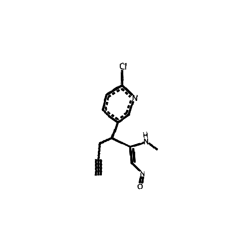 C#CCC(/C(=C/N=O)NC)c1ccc(Cl)nc1